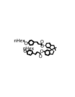 CCCCCCOc1ccc(/C=C/C(=O)Oc2ccc3c(c2)[C@]2(CC3)C3=C[C@H](OC(=O)/C=C/c4ccc(OCCCCCC)cc4)CC=C3CC2(C)C)cc1